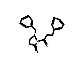 O=C(CCc1ccccc1)N1C(=O)OC[C@H]1Cc1ccccc1